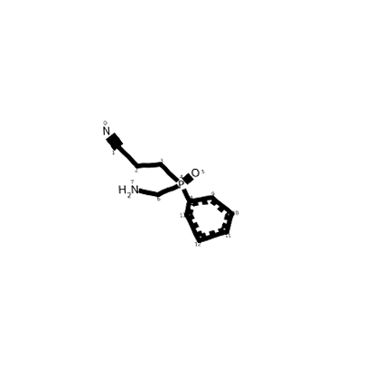 N#CCCP(=O)(CN)c1ccccc1